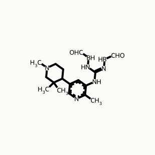 Cc1ncc(C2CCN(C)CC2(C)C)cc1N/C(=N/BC=O)NBC=O